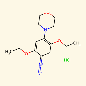 CCOC1=CC(N2CCOCC2)=C(OCC)CC1=[N+]=[N-].Cl